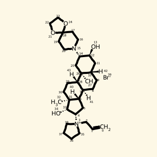 C=CC[N+]1([C@H]2C[C@H]3[C@@H]4CC[C@H]5C[C@H](O)[C@@H](N6CCC7(CC6)OCCO7)C[C@]5(C)[C@H]4CC[C@]3(C)[C@H]2O)CCCC1.[Br-]